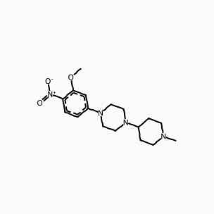 COc1cc(N2CCN(C3CCN(C)CC3)CC2)ccc1[N+](=O)[O-]